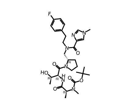 C[C@@H](O)[C@H](NC(=O)[C@H](C)N(C)C(=O)OC(C)(C)C)C(=O)N1CCC[C@H]1CN(CCc1ccc(F)cc1)C(=O)c1cn(C)cn1